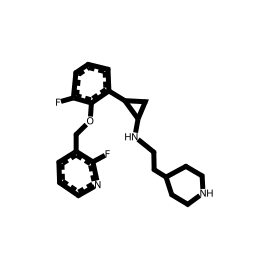 Fc1cccc(C2CC2NCCC2CCNCC2)c1OCc1cccnc1F